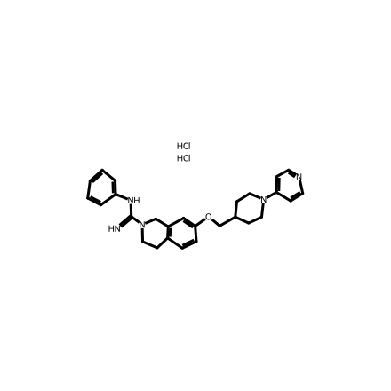 Cl.Cl.N=C(Nc1ccccc1)N1CCc2ccc(OCC3CCN(c4ccncc4)CC3)cc2C1